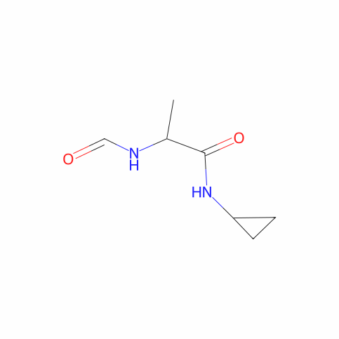 CC(NC=O)C(=O)NC1CC1